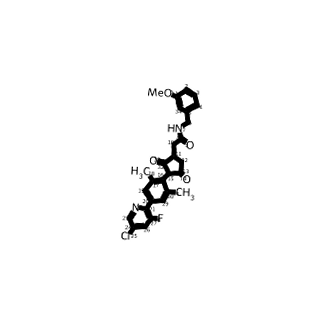 COc1cccc(CNC(=O)CC2CC(=O)C(c3c(C)cc(-c4ncc(Cl)cc4F)cc3C)C2=O)c1